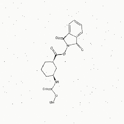 CC(C)(C)OC(=O)N[C@H]1CCC[C@@H](C(=O)ON2C(=O)c3ccccc3C2=O)C1